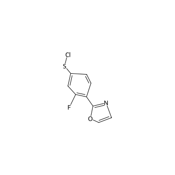 Fc1cc(SCl)ccc1-c1ncco1